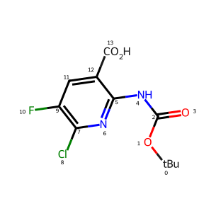 CC(C)(C)OC(=O)Nc1nc(Cl)c(F)cc1C(=O)O